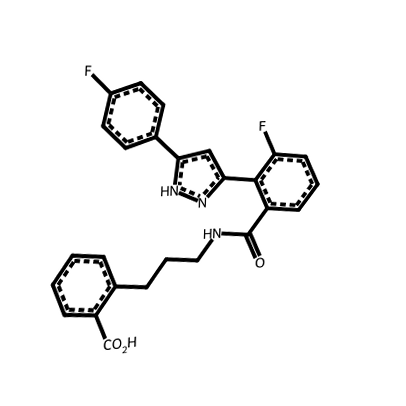 O=C(O)c1ccccc1CCCNC(=O)c1cccc(F)c1-c1cc(-c2ccc(F)cc2)[nH]n1